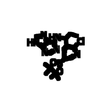 CCC(Nc1ncnc2[nH]cnc12)c1cc(B2OC(C)(C)C(C)(C)O2)cnc1Cl